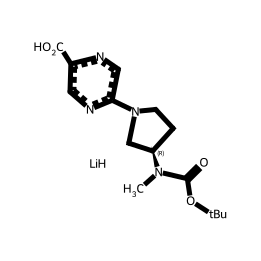 CN(C(=O)OC(C)(C)C)[C@@H]1CCN(c2cnc(C(=O)O)cn2)C1.[LiH]